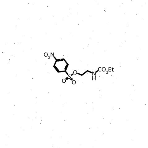 CCOC(=O)NCCOS(=O)(=O)c1ccc([N+](=O)[O-])cc1